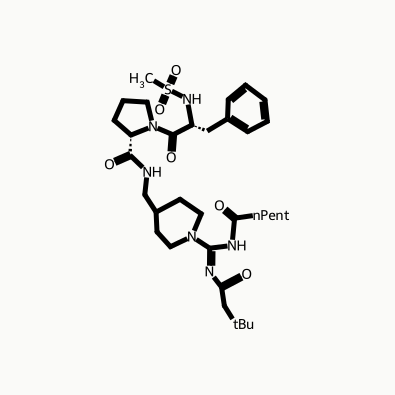 CCCCCC(=O)N/C(=N\C(=O)CC(C)(C)C)N1CCC(CNC(=O)[C@@H]2CCCN2C(=O)[C@@H](Cc2ccccc2)NS(C)(=O)=O)CC1